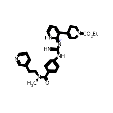 CCOC(=O)N1CC=C(c2ccc[nH]/c2=N\C(=N)Nc2ccc(C(=O)N(C)CCc3cccnc3)cc2)CC1